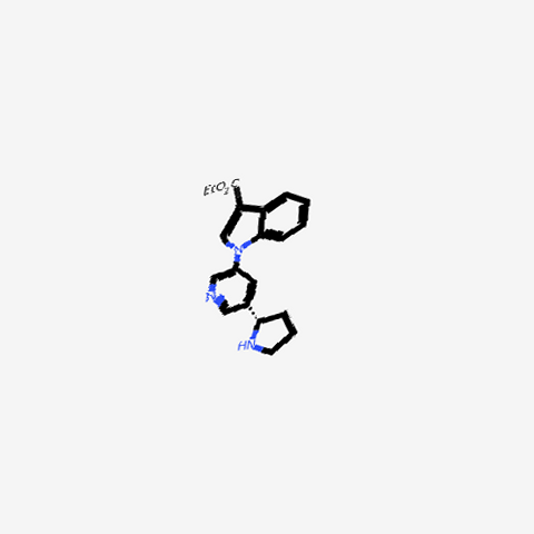 CCOC(=O)c1cn(-c2cncc([C@@H]3CCCN3)c2)c2ccccc12